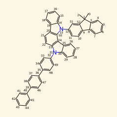 CC1(C)c2ccccc2-c2ccc(-n3c4ccccc4c4ccc5c(c6ccccc6n5-c5ccc(-c6ccc(-c7ccccc7)cc6)cc5)c43)cc21